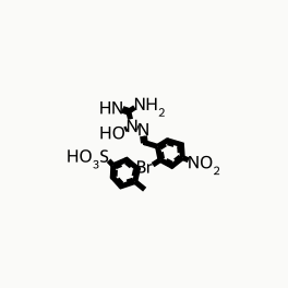 Cc1ccc(S(=O)(=O)O)cc1.N=C(N)N(O)N=Cc1ccc([N+](=O)[O-])cc1Br